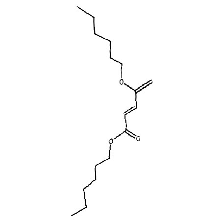 C=C(/C=C/C(=O)OCCCCCC)OCCCCCC